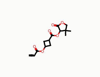 C=CC(=O)OC1CC(C(=O)OC2C(=O)OCC2(C)C)C1